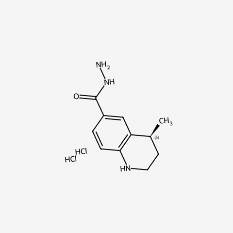 C[C@H]1CCNc2ccc(C(=O)NN)cc21.Cl.Cl